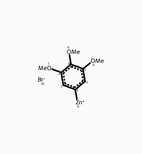 COc1c[c]([Zn+])cc(OC)c1OC.[Br-]